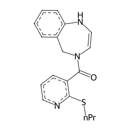 CCCSc1ncccc1C(=O)N1C=CNc2ccccc2C1